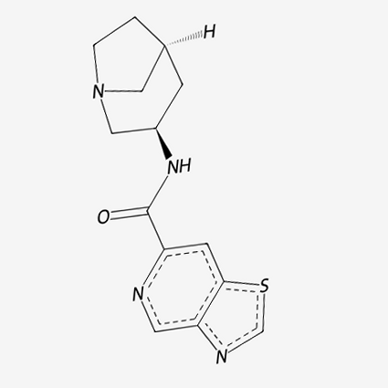 O=C(N[C@@H]1C[C@@H]2CCN(C2)C1)c1cc2scnc2cn1